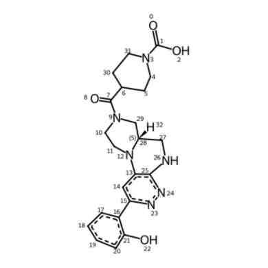 O=C(O)N1CCC(C(=O)N2CCN3c4cc(-c5ccccc5O)nnc4NC[C@H]3C2)CC1